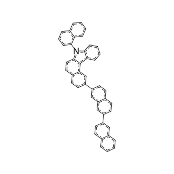 c1ccc2cc(-c3ccc4ccc(-c5ccc6ccc7c(c6c5)c5ccccc5n7-c5cccc6ccccc56)cc4c3)ccc2c1